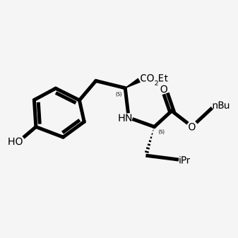 CCCCOC(=O)[C@H](CC(C)C)N[C@@H](Cc1ccc(O)cc1)C(=O)OCC